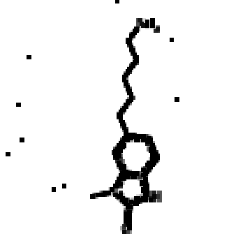 Cn1c(=O)[nH]c2ccc(CCCCCN)cc21